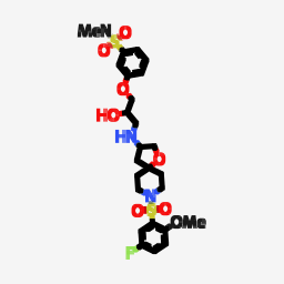 CNS(=O)(=O)c1cccc(OCC(O)CNC2COC3(CCN(S(=O)(=O)c4cc(F)ccc4OC)CC3)C2)c1